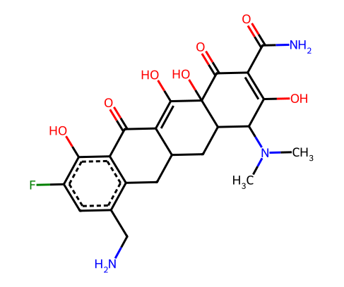 CN(C)C1C(O)=C(C(N)=O)C(=O)C2(O)C(O)=C3C(=O)c4c(O)c(F)cc(CN)c4CC3CC12